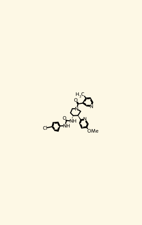 COc1ccc([C@@H]2CN(C(=O)c3cnccc3C)CC[C@H]2NC(=O)Nc2ccc(Cl)cc2)nc1